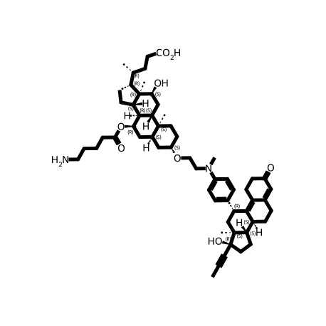 CC#C[C@@]1(O)CC[C@H]2[C@@H]3CCC4=CC(=O)CCC4=C3[C@@H](c3ccc(N(C)CCO[C@H]4CC[C@@]5(C)[C@@H](C4)C[C@@H](OC(=O)CCCCN)[C@@H]4[C@@H]5C[C@H](O)[C@]5(C)[C@@H]([C@H](C)CCC(=O)O)CC[C@@H]45)cc3)C[C@@]21C